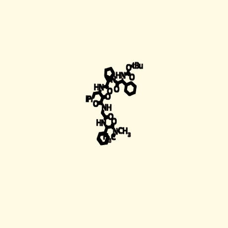 CC(C)CC(NC(=O)C1C2CCC(C2)N1C(=O)[C@H](NC(=O)OC(C)(C)C)C1CCCCC1)C(=O)C(=O)NCC(=O)NC(C(=O)N(C)C)c1ccccc1